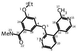 CCOc1cc(Oc2ncccc2-c2ccnc(C)c2)cc(C(=O)NC)c1